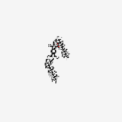 O=c1c2cc3c(=O)n(OS(=O)(=O)C(F)(F)C(F)(F)C(F)(F)C(F)(F)C(F)(F)C(F)(F)C(F)(F)C(F)(F)F)c(=O)c3cc2c(=O)n1OS(=O)(=O)C(F)(F)C(F)(F)C(F)(F)C(F)(F)C(F)(F)C(F)(F)C(F)(F)C(F)(F)F